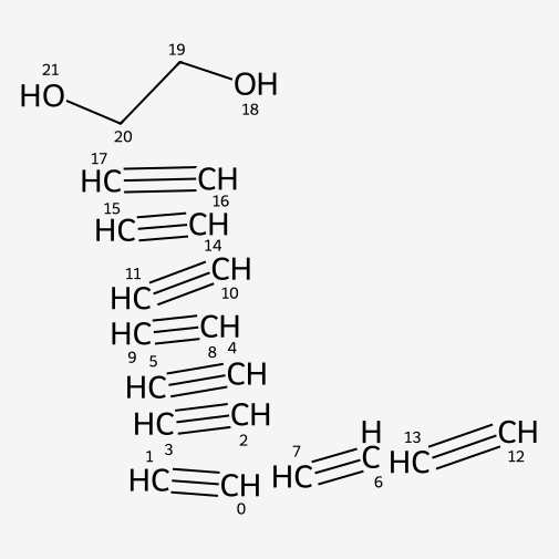 C#C.C#C.C#C.C#C.C#C.C#C.C#C.C#C.C#C.OCCO